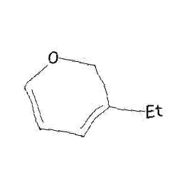 CCC1=CC=COC1